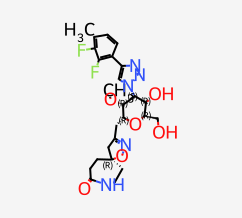 CO[C@@H]1[C@@H](n2cc(-c3ccc(C)c(F)c3F)nn2)[C@@H](O)[C@@H](CO)O[C@@H]1CC1=NO[C@]2(CCNC(=O)CC2)C1